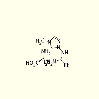 CCC(N)NN1C=CN(C)C1.C[C@H](N)C(=O)O